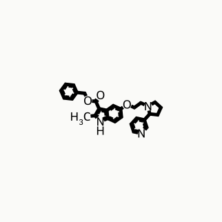 Cc1[nH]c2ccc(OCCN3CCCC3c3cccnc3)cc2c1C(=O)OCc1ccccc1